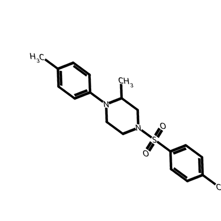 Cc1ccc(N2CCN(S(=O)(=O)c3ccc(Cl)cc3)CC2C)cc1